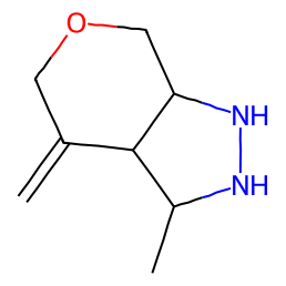 C=C1COCC2NNC(C)C12